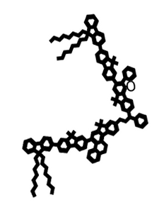 CCCCCCCCC1(CCCCCCCC)c2ccccc2-c2ccc(-c3ccc4c(c3)C(C)(C)c3cc(-c5cc6c(c7c5-c5ccccc5CC7)-c5ccc(CCC(c7ccccc7)c7ccc8c(c7)C(C)(C)c7cc(-c9ccc%10c(c9)C(C)(C)c9cc(-c%11ccc%12c(c%11)C(CCCCCCCC)(CCCCCCCC)c%11ccccc%11-%12)ccc9-%10)c9c(oc%10ccccc%109)c7-8)cc5C6(C)C)ccc3-4)cc21